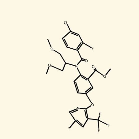 COCC(COC)N(C(=O)c1ccc(Cl)cc1F)c1ccc(Oc2ncc(I)cc2C(F)(F)F)cc1C(=O)OC